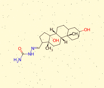 C[C@]12CCC(O)CC1CC[C@@H]1[C@H]2CC[C@]2(C)C(C=NNC(N)=O)CC[C@@]12O